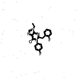 CCn1cnc2c(=O)n(-c3ccc(F)cc3)c(Cc3ccccc3F)nc21